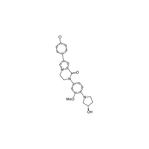 COc1cc(N2CCn3cc(-c4ccc(Cl)cc4)cc3C2=O)ccc1N1CC[C@@H](O)C1